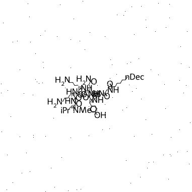 CCCCCCCCCCCCCCCC(=O)NCC(=O)NCC(=O)N[C@@H](Cc1ccc(O)cc1)C(=O)N[C@@H](CCC(N)=O)C(=O)N[C@@H](CCCCN)C(=O)N[C@@H](CCCCN)C(=O)NC(=O)[C@H](CC(C)C)NC